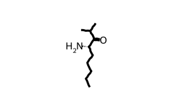 CCCCC[C@H](N)C(=O)C(C)C